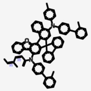 C=C(/C=C\C(C)=C/C)N(c1ccc(-c2ccccc2C)cc1)c1cc2c(c3oc4ccccc4c13)-c1c(cc(N(c3ccc(C)cc3)c3ccc(-c4ccccc4C)cc3)c3ccccc13)C21c2ccccc2-c2ccccc21